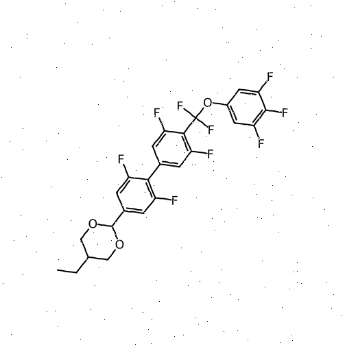 CCC1COC(c2cc(F)c(-c3cc(F)c(C(F)(F)Oc4cc(F)c(F)c(F)c4)c(F)c3)c(F)c2)OC1